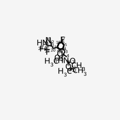 COCC1(CNC(=O)OC(C)(C)C)Cc2cc(F)cc(CC3C=NN[C@@H]3C(F)F)c2O1